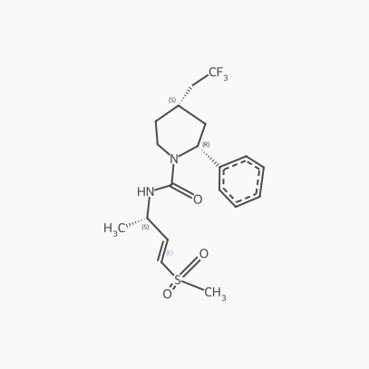 C[C@@H](/C=C/S(C)(=O)=O)NC(=O)N1CC[C@H](CC(F)(F)F)C[C@@H]1c1ccccc1